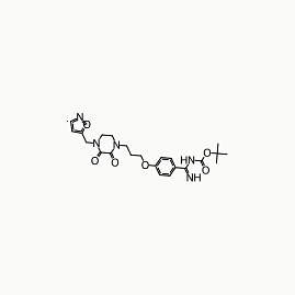 CC(C)(C)OC(=O)NC(=N)c1ccc(OCCCN2CCN(Cc3c[c]no3)C(=O)C2=O)cc1